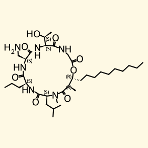 CCCCCCCCCC[C@H]1OC(=O)CNC(=O)[C@H]([C@H](C)O)NC(=O)[C@H](CN)NC(=O)[C@H](CCC)NC(=O)[C@H](CC(C)C)N(C)C(=O)[C@@H]1C